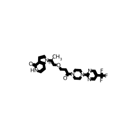 C[C@H](COCCC(=O)N1CCN(c2ncc(C(F)(F)F)cn2)CC1)n1ccc2c(=O)[nH]ccc21